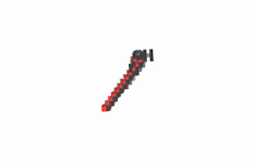 CCCCCCCCCCCCCCCCCC/N=C/c1ccc(O)cc1